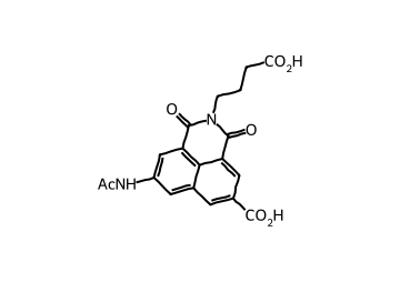 CC(=O)Nc1cc2c3c(cc(C(=O)O)cc3c1)C(=O)N(CCCC(=O)O)C2=O